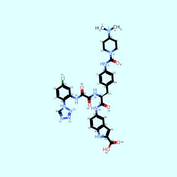 CN(C)C1CCN(C(=O)Nc2ccc(C[C@H](NC(=O)C(=O)Nc3cc(Cl)ccc3-n3cnnn3)C(=O)Nc3ccc4[nH]c(C(=O)O)cc4c3)cc2)CC1